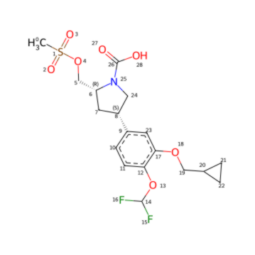 CS(=O)(=O)OC[C@H]1C[C@@H](c2ccc(OC(F)F)c(OCC3CC3)c2)CN1C(=O)O